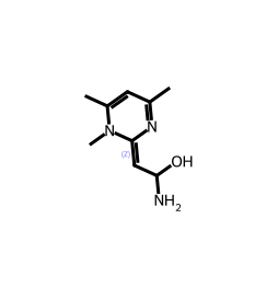 CC1=CC(C)=N/C(=C\C(N)O)N1C